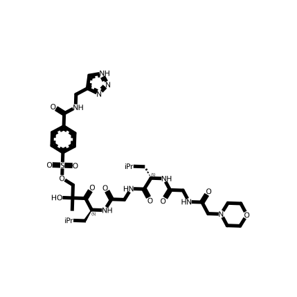 CC(C)C[C@H](NC(=O)CNC(=O)CN1CCOCC1)C(=O)NCC(=O)N[C@@H](CC(C)C)C(=O)C(C)(O)COS(=O)(=O)c1ccc(C(=O)NCc2c[nH]nn2)cc1